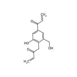 C=CC(=O)Cc1c(O)cc(C(=O)C=C)cc1CO